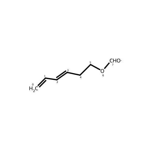 C=CC=CCCO[C]=O